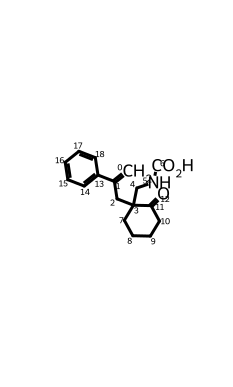 C=C(CC1(CNC(=O)O)CCCCC1=O)c1ccccc1